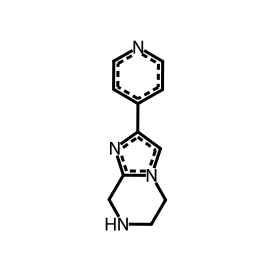 c1cc(-c2cn3c(n2)CNCC3)ccn1